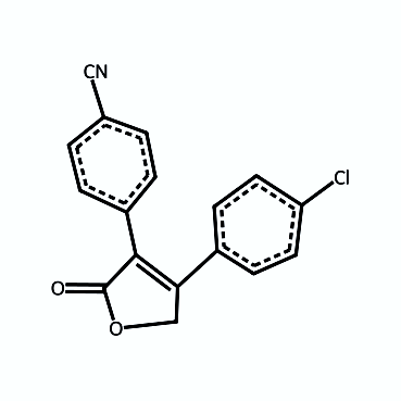 N#Cc1ccc(C2=C(c3ccc(Cl)cc3)COC2=O)cc1